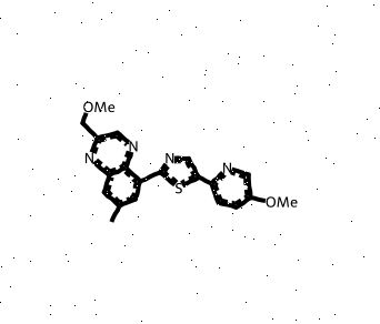 COCc1cnc2c(-c3ncc(-c4ccc(OC)cn4)s3)cc(C)cc2n1